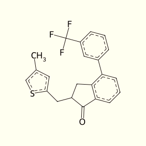 Cc1csc(CC2Cc3c(cccc3-c3cccc(C(F)(F)F)c3)C2=O)c1